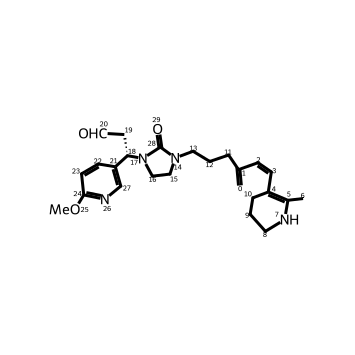 C=C(/C=C\C1=C(C)NCCC1)CCCN1CCN([C@@H](CC=O)c2ccc(OC)nc2)C1=O